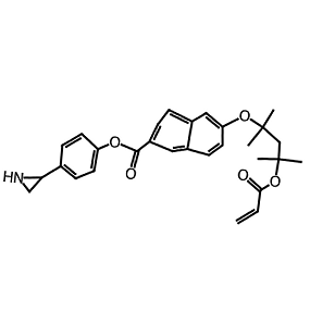 C=CC(=O)OC(C)(C)CC(C)(C)Oc1ccc2cc(C(=O)Oc3ccc(C4CN4)cc3)ccc2c1